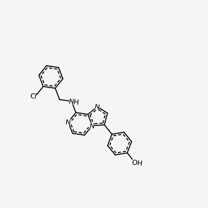 Oc1ccc(-c2cnc3c(NCc4ccccc4Cl)nccn23)cc1